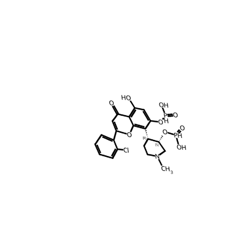 CN1CC[C@H](c2c(O[PH](=O)O)cc(O)c3c(=O)cc(-c4ccccc4Cl)oc23)[C@H](O[PH](=O)O)C1